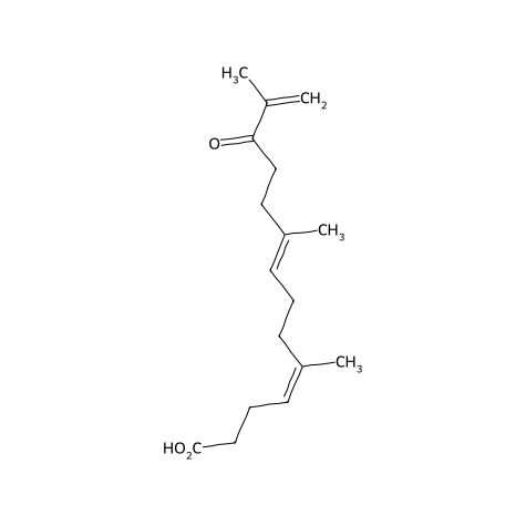 C=C(C)C(=O)CC/C(C)=C/CC/C(C)=C\CCC(=O)O